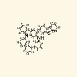 c1ccc(-c2cccc(Nc3cc4c(cc3-c3ccc5c(c3)sc3ccccc35)c3ccccc3n4-c3ccccc3)c2)cc1